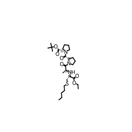 CCCCCSC[C@H](N[C@@H](C)C(=O)N1CCC[C@H]1C(=O)N1CCC[C@H]1C(=O)OC(C)(C)C)C(=O)OCC